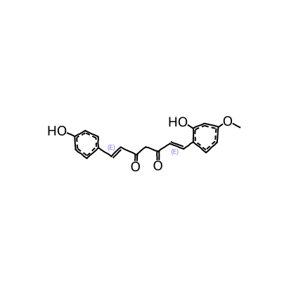 COc1ccc(/C=C/C(=O)CC(=O)/C=C/c2ccc(O)cc2)c(O)c1